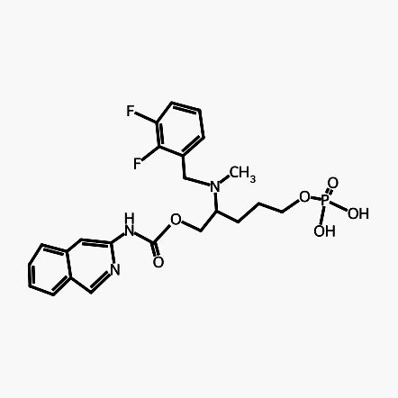 CN(Cc1cccc(F)c1F)C(CCCOP(=O)(O)O)COC(=O)Nc1cc2ccccc2cn1